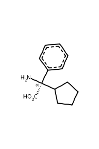 N[C@@](C(=O)O)(c1ccccc1)C1CCCC1